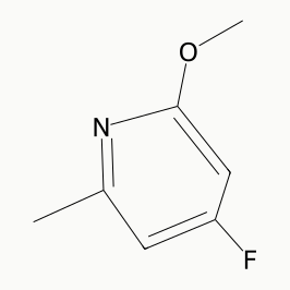 COc1cc(F)cc(C)n1